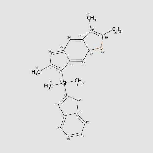 CC1=C([Si](C)(C)C2=Cc3ccccc3C2)C2=CC3SC(C)=C(C)C3=CC2=C1